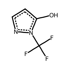 Oc1ccnn1C(F)(F)F